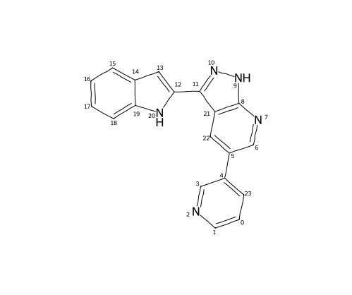 c1cncc(-c2cnc3[nH]nc(-c4cc5ccccc5[nH]4)c3c2)c1